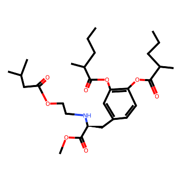 CCCC(C)C(=O)Oc1ccc(C[C@H](NCCOC(=O)CC(C)C)C(=O)OC)cc1OC(=O)C(C)CCC